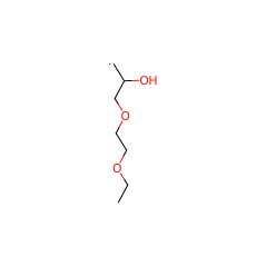 [CH2]C(O)COCCOCC